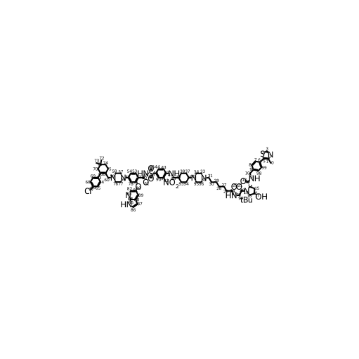 Cc1ncsc1-c1ccc(CNC(=O)[C@@H]2C[C@@H](O)CN2C(=O)[C@@H](NC(=O)CCCCCCN2CCN(C3CCC(CNc4ccc(S(=O)(=O)NC(=O)c5ccc(N6CCN(CC7=C(c8ccc(Cl)cc8)CC(C)(C)CC7)CC6)cc5Oc5cnc6[nH]ccc6c5)cc4[N+](=O)[O-])CC3)CC2)C(C)(C)C)cc1